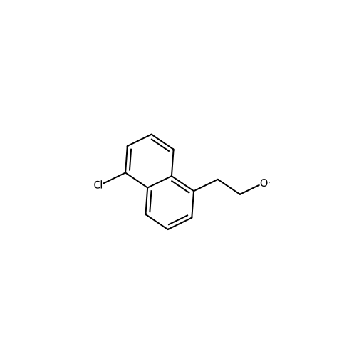 [O]CCc1cccc2c(Cl)cccc12